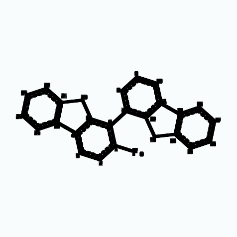 Fc1ccc2c(c1-c1cccc3c1Cc1ccccc1-3)Cc1ccccc1-2